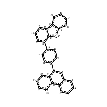 c1ccc2c(c1)cc(-c1ccc(-c3cccc4c3sc3ccccc34)cc1)c1cccnc12